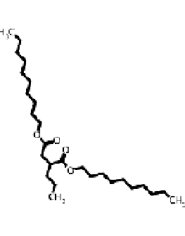 CCCCCCCCCCOC(=O)CC(CCC)C(=O)OCCCCCCCCCC